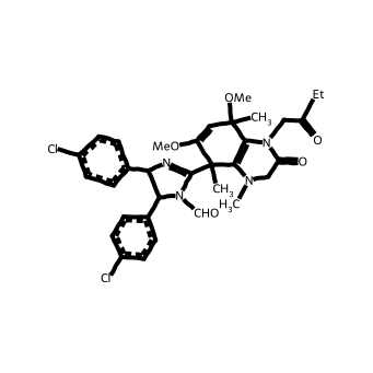 CCC(=O)CN1C(=O)CN(C)C2=C1C(C)(OC)C=C(OC)C2(C)C1=NC(c2ccc(Cl)cc2)C(c2ccc(Cl)cc2)N1C=O